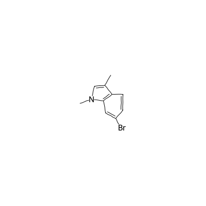 Cc1cn(C)c2cc(Br)ccc12